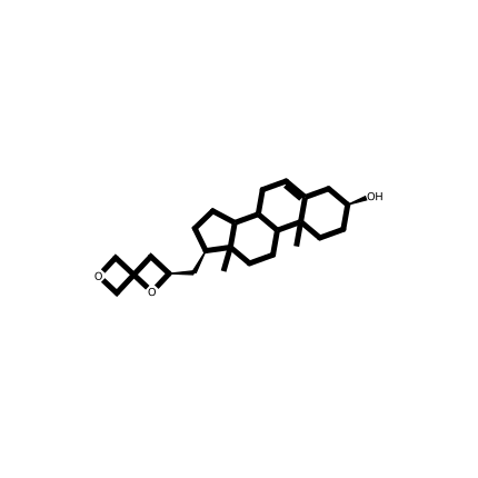 CC12CC[C@H](O)CC1=CCC1C2CCC2(C)C1CC[C@@H]2C[C@@H]1CC2(COC2)O1